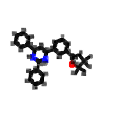 CC1(C)CB(c2cccc(-c3cc(-c4ccccc4)nc(-c4ccccc4)n3)c2)OC1(C)C